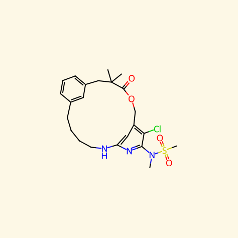 CN(c1nc2cc(c1Cl)COC(=O)C(C)(C)Cc1cccc(c1)CCCCN2)S(C)(=O)=O